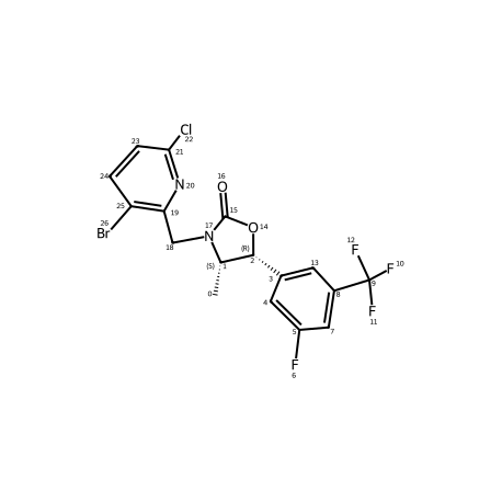 C[C@H]1[C@@H](c2cc(F)cc(C(F)(F)F)c2)OC(=O)N1Cc1nc(Cl)ccc1Br